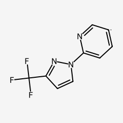 FC(F)(F)c1ccn(-c2cc[c]cn2)n1